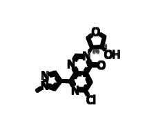 Cn1cc(-c2nc(Cl)cc3c(=O)n([C@H]4COC[C@H]4O)cnc23)cn1